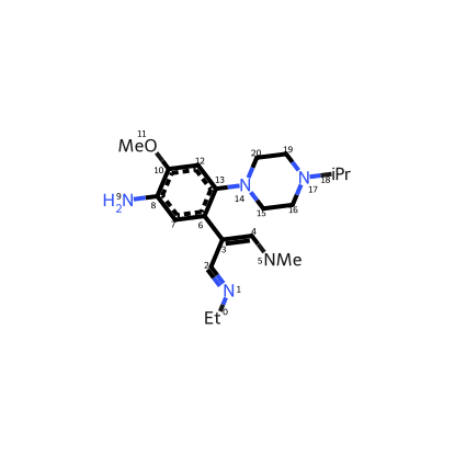 CC/N=C/C(=C\NC)c1cc(N)c(OC)cc1N1CCN(C(C)C)CC1